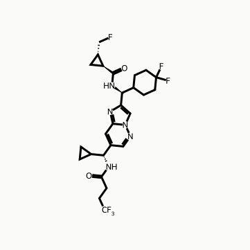 O=C(CCC(F)(F)F)N[C@@H](c1cnn2cc([C@@H](NC(=O)[C@H]3C[C@@H]3CF)C3CCC(F)(F)CC3)nc2c1)C1CC1